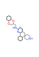 c1ccc2c(c1)OCC(CNc1ncc3c(n1)-c1ccccc1C1(CCNCC1)C3)O2